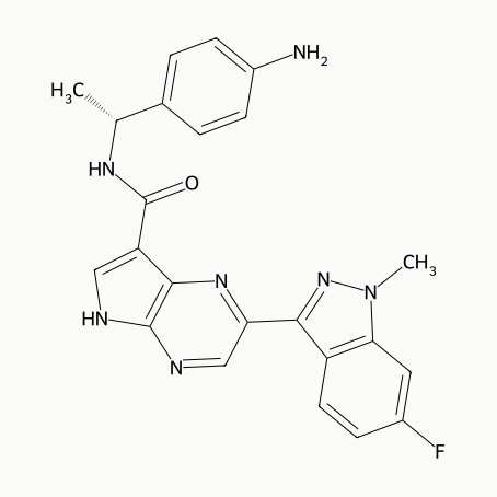 C[C@@H](NC(=O)c1c[nH]c2ncc(-c3nn(C)c4cc(F)ccc34)nc12)c1ccc(N)cc1